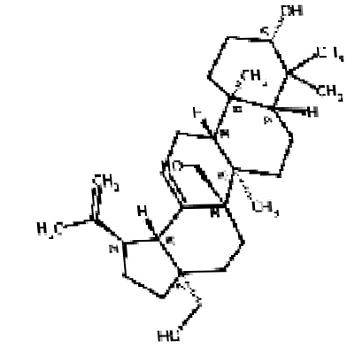 C=C(C)[C@@H]1CC[C@]2(CO)CC[C@]3(CO)C(=CC[C@@H]4[C@@]5(C)CC[C@H](O)C(C)(C)[C@@H]5CC[C@]43C)[C@@H]12